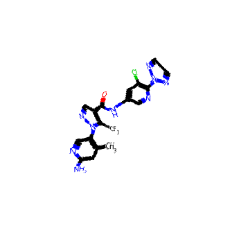 Cc1cc(N)ncc1-n1ncc(C(=O)Nc2cnc(-n3nccn3)c(Cl)c2)c1C(F)(F)F